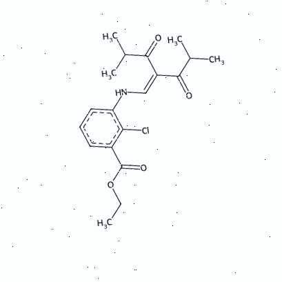 CCOC(=O)c1cccc(NC=C(C(=O)C(C)C)C(=O)C(C)C)c1Cl